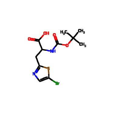 CC(C)(C)OC(=O)NC(Cc1ncc(Br)s1)C(=O)O